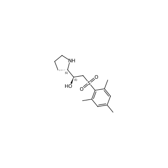 Cc1cc(C)c(S(=O)(=O)C[C@@H](O)[C@@H]2CCCN2)c(C)c1